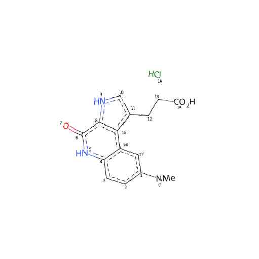 CNc1ccc2[nH]c(=O)c3[nH]cc(CCC(=O)O)c3c2c1.Cl